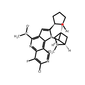 CC(=O)N1CCC[C@@H]1c1cc2c([S+](C)[O-])nc3c(F)c(Cl)ncc3c2n1[C@H]1[C@@H]2C[C@H]1N(C(=O)O)C2